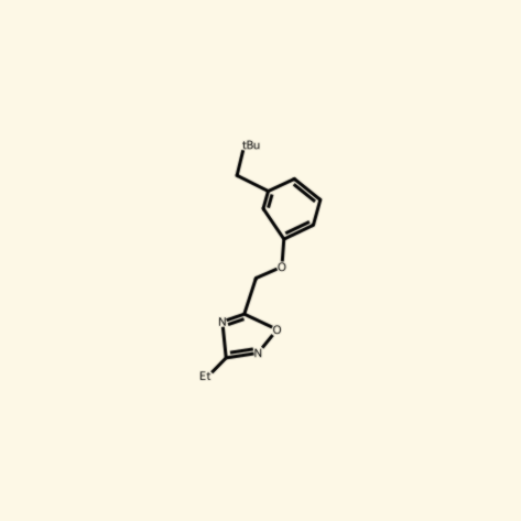 CCc1noc(COc2cccc(CC(C)(C)C)c2)n1